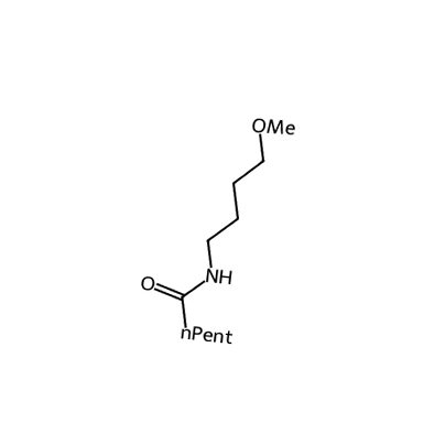 CCCCCC(=O)NCCCCOC